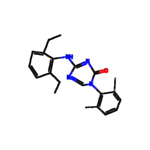 CCc1cccc(CC)c1Nc1ncn(-c2c(C)cccc2C)c(=O)n1